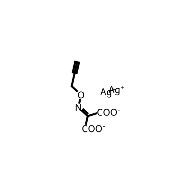 C#CCON=C(C(=O)[O-])C(=O)[O-].[Ag+].[Ag+]